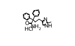 Cc1nc(CCC(C(N)=O)(c2ccccc2)c2ccccc2)c[nH]1.Cl